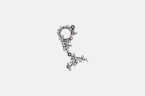 C=C1C(=O)N[C@@H](C)C(=O)N(C)[C@@H](C)C(=O)N[C@@H]([C@H](OC(=O)[C@@H](NC(=O)CC)[C@H](OC(=O)OCc2ccc(NC(=O)[C@H](CCCNC(N)=O)NC(=O)[C@@H](NC(=O)CCN3C(=O)C=CC3=O)C(C)C)cc2)C(C)C)C(C)C)C(=O)N(C)[C@@H]([C@@H](C)OC)C(=O)O[C@H](C)[C@H](NC(C)=O)C(=O)O[C@H](Cc2ccccc2)C(=O)N1C